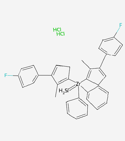 CC1=[C]([Zr](=[SiH2])([C]2=C(C)C(c3ccc(F)cc3)=CC2)([c]2ccccc2)[c]2ccccc2)CC=C1c1ccc(F)cc1.Cl.Cl